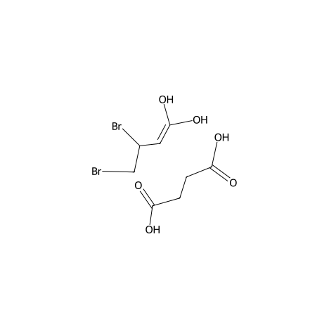 O=C(O)CCC(=O)O.OC(O)=CC(Br)CBr